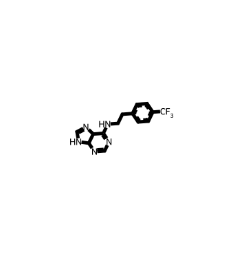 FC(F)(F)c1ccc(CCNC2=NC=NC3NC=NC23)cc1